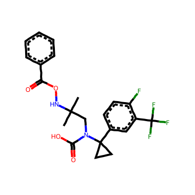 CC(C)(CN(C(=O)O)C1(c2ccc(F)c(C(F)(F)F)c2)CC1)NOC(=O)c1ccccc1